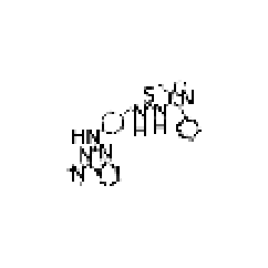 Cc1onc(-c2ccccc2)c1NC(=S)NC[C@H]1CC[C@@H](Nc2nc(N(C)C)c3ccccc3n2)CC1